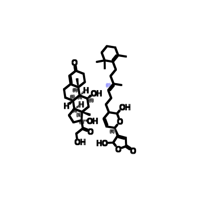 CC1=C(CC/C(C)=C/CCC2C=C[C@H](C3=CC(=O)OC3O)OC2O)C(C)(C)CCC1.C[C@]12CCC(=O)C=C1CC[C@@H]1[C@@H]2[C@@H](O)C[C@@]2(C)[C@H]1CC[C@]2(O)C(=O)CO